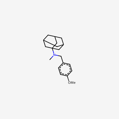 COc1ccc(CN(C)C23CC4CC(CC(C4)C2)C3)cc1